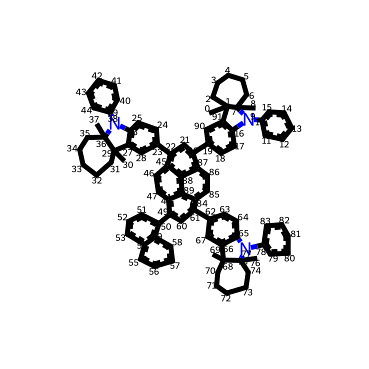 CC12CCCCCC1(C)N(c1ccccc1)c1ccc(-c3cc(-c4ccc5c(c4)C4(C)CCCCCC4(C)N5c4ccccc4)c4ccc5c(-c6cccc7ccccc67)cc(-c6ccc7c(c6)C6(C)CCCCCC6(C)N7c6ccccc6)c6ccc3c4c65)cc12